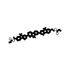 C=CC(=O)OCCc1ccc2c(c1)C(C)(C)c1cc(-c3ccc4c(c3)C(C)(C)c3cc(-c5ccc6c(c5)C(C)(C)c5cc(C(C)OC(=O)C=C)ccc5-6)ccc3-4)ccc1-2